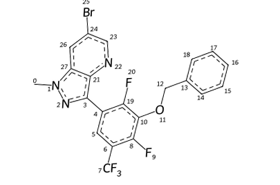 Cn1nc(-c2cc(C(F)(F)F)c(F)c(OCc3ccccc3)c2F)c2ncc(Br)cc21